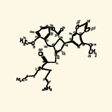 CCCCN(CCCN)C(=O)CN1C[C@H](c2cc(OC)c3c(c2)OCO3)[C@@H](C(=O)O)[C@@H]1Cc1ccccc1OC